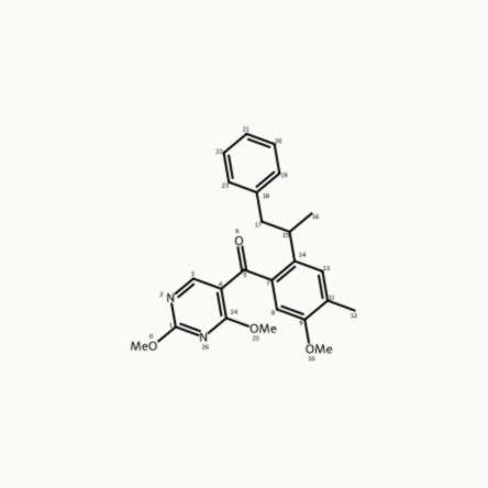 COc1ncc(C(=O)c2cc(OC)c(C)cc2C(C)Cc2ccccc2)c(OC)n1